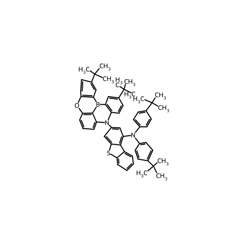 CC(C)(C)c1ccc(N(c2ccc(C(C)(C)C)cc2)c2cc(N3c4ccc(C(C)(C)C)cc4B4c5cc(C(C)(C)C)ccc5Oc5cccc3c54)cc3sc4ccccc4c23)cc1